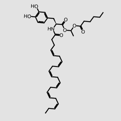 CC/C=C\C/C=C\C/C=C\C/C=C\C/C=C\C/C=C\CCC(=O)N[C@@H](Cc1ccc(O)c(O)c1)C(=O)OC(C)OC(=O)CCCCC